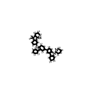 CC1(C)c2ccc(-n3c4ccccc4c4cc(-c5ccc6c(c5)c5ccccc5n6-c5ccccn5)ccc43)cc2-c2ncccc21